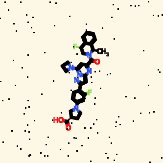 C[C@@H]1c2ccccc2[C@@H](F)CN1C(=O)c1cc(N2CCC2)n2nc(-c3ccc(N4CC[C@H](C(=O)O)C4)cc3F)cc2n1